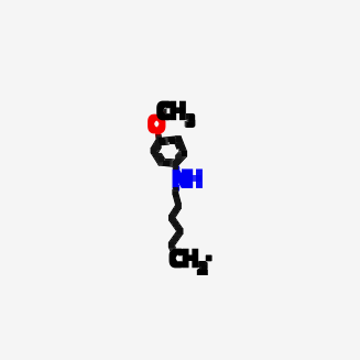 [CH2]CCCCCNc1ccc(OC)cc1